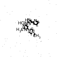 CCN1CCN(c2cc(Nc3ncc(-c4ccccn4)s3)nc(C)n2)CC1.Cl